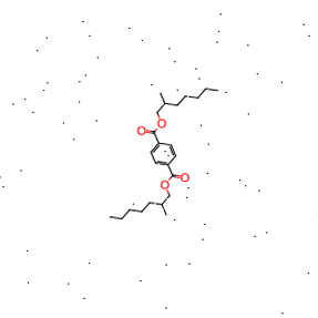 CCCCCC(C)COC(=O)c1ccc(C(=O)OCC(C)CCCCC)cc1